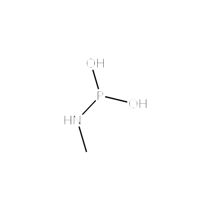 CNP(O)O